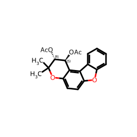 CC(=O)O[C@@H]1[C@@H](OC(C)=O)c2c(ccc3oc4ccccc4c23)OC1(C)C